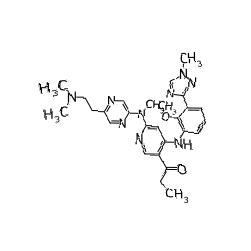 CCC(=O)c1cnc(N(C)c2cnc(CCN(C)C)cn2)cc1Nc1cccc(-c2ncn(C)n2)c1OC